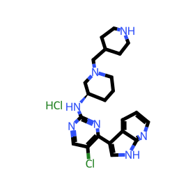 Cl.Clc1cnc(N[C@@H]2CCCN(CC3CCNCC3)C2)nc1-c1c[nH]c2ncccc12